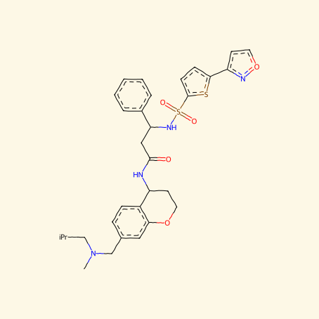 CC(C)CN(C)Cc1ccc2c(c1)OCCC2NC(=O)CC(NS(=O)(=O)c1ccc(-c2ccon2)s1)c1ccccc1